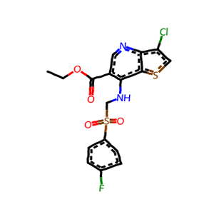 CCOC(=O)c1cnc2c(Cl)csc2c1NCS(=O)(=O)c1ccc(F)cc1